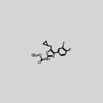 CC(C)(C)OC(=O)Nc1nc(-c2ccc(F)c(F)c2)c(CC2CC2)s1